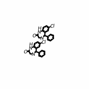 O=C1CN=C(c2ccccc2)c2cc(Cl)ccc2N1.O=C1CN=C(c2ccccc2)c2cc(Cl)ccc2N1